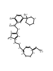 CCc1ccc(C2(CC)CCCCC2)cc1C(CC)Cc1cc(CCCC2=N/CCCC(=C\N)/C=C\2)n(C)n1